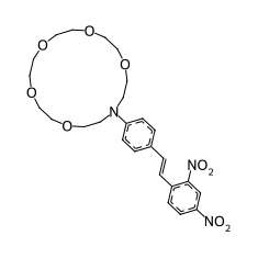 O=[N+]([O-])c1ccc(C=Cc2ccc(N3CCOCCOCCOCCOCCOCC3)cc2)c([N+](=O)[O-])c1